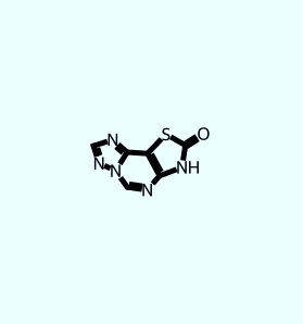 O=c1[nH]c2ncn3ncnc3c2s1